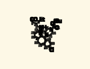 CCOC(=O)CCCNC(=O)C1CN(C(=O)OC(C)(C)C)CCN1C1c2ccc(Cl)cc2CCc2cccnc21